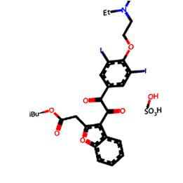 CC[C@H](C)OC(=O)Cc1oc2ccccc2c1C(=O)C(=O)c1cc(I)c(OCCN(CC)CC)c(I)c1.O=S(=O)(O)O